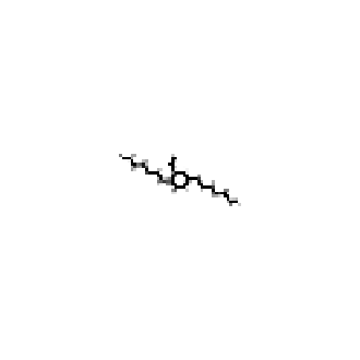 C=Cc1cc(CCCCCCC)ccc1CCCCCCC